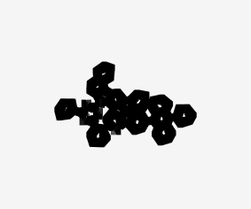 c1ccc(-c2nc(-c3ccccc3)nc(-n3c4cc5c(cc4c4c6ccccc6ccc43)-c3ccccc3C53c4cc(-c5c6ccccc6c(-c6ccccc6)c6ccccc56)ccc4-c4ncccc43)n2)cc1